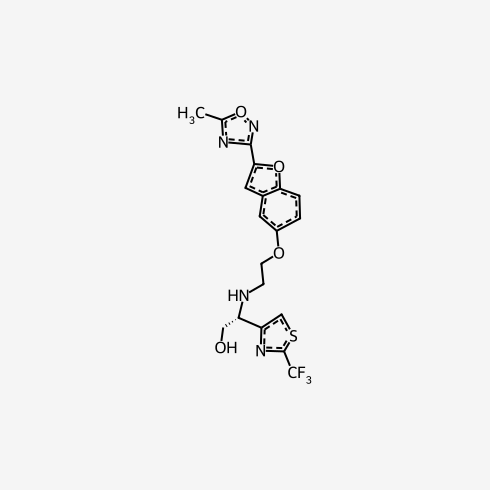 Cc1nc(-c2cc3cc(OCCN[C@@H](CO)c4csc(C(F)(F)F)n4)ccc3o2)no1